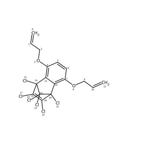 C=CCOc1ccc(OCC=C)c2c1C1(Cl)C(Cl)=C(Cl)C2(Cl)C1(Cl)Cl